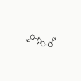 C=C1C(c2cccc(C#N)c2)=NC2=C1CCC(c1cccc(C#N)c1)C2